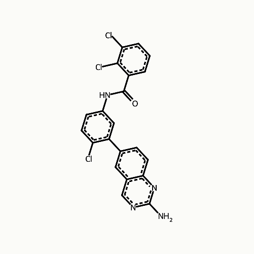 Nc1ncc2cc(-c3cc(NC(=O)c4cccc(Cl)c4Cl)ccc3Cl)ccc2n1